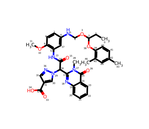 CCC(OCNc1ccc(OC)c(NC(=O)C(c2nc3ccccc3c(=O)n2C)n2cc(C(=O)O)cn2)c1)Oc1ccc(C)cc1C